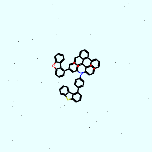 c1ccc(-c2cccc3cccc(-c4ccccc4N(c4ccc(-c5cccc6sc7ccccc7c56)cc4)c4cccc(-c5cccc6oc7ccccc7c56)c4)c23)cc1